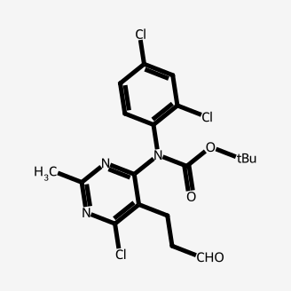 Cc1nc(Cl)c(CCC=O)c(N(C(=O)OC(C)(C)C)c2ccc(Cl)cc2Cl)n1